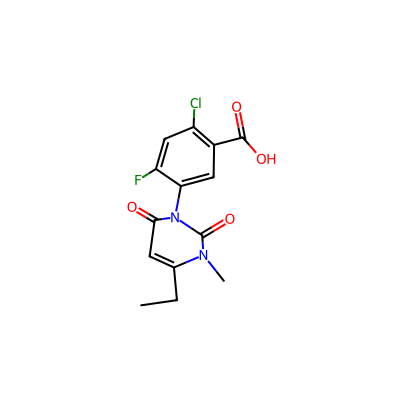 CCc1cc(=O)n(-c2cc(C(=O)O)c(Cl)cc2F)c(=O)n1C